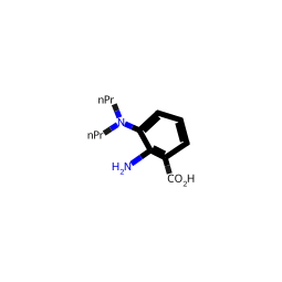 CCCN(CCC)c1cccc(C(=O)O)c1N